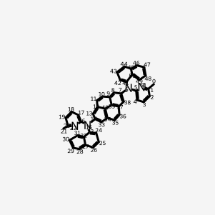 Cc1cccc(N(c2cc3ccc4cc(N(c5cccc(C)n5)c5cccc6ccccc56)cc5ccc(c2)c3c45)c2cccc3ccccc23)n1